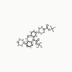 CC(C)(C)OC(=O)N1CCC(c2ccc3c(c2)N(C(=O)OC(C)(C)C)c2ncnc(C4CCOCC4)c2CO3)CC1